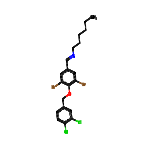 CCCCCC/N=C/c1cc(Br)c(OCc2ccc(Cl)c(Cl)c2)c(Br)c1